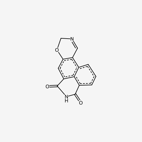 O=C1NC(=O)c2cc3c(c4cccc1c24)C=NCO3